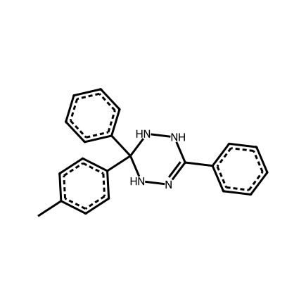 Cc1ccc(C2(c3ccccc3)NN=C(c3ccccc3)NN2)cc1